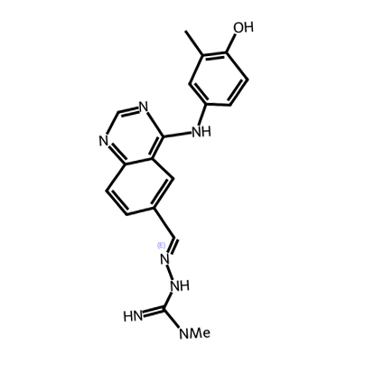 CNC(=N)N/N=C/c1ccc2ncnc(Nc3ccc(O)c(C)c3)c2c1